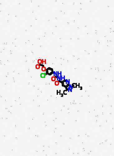 Cc1nn(C)c2ncc(C(=O)NC(=O)Nc3ccc(OCC(=O)O)c(Cl)c3)cc12